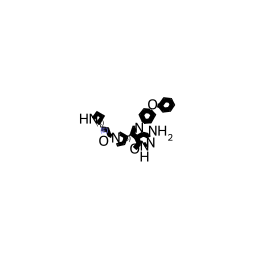 Nc1n[nH]c(=O)c2c([C@@H]3CCN(C(=O)/C=C/[C@H]4CCN4)C3)cn(-c3ccc(Oc4ccccc4)cc3)c12